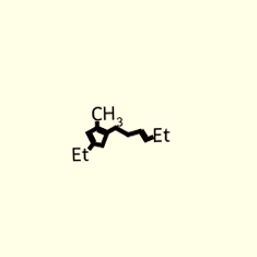 CCC=CCCC1=C(C)C=C(CC)C1